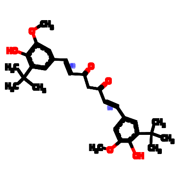 COc1cc(/C=C/C(=O)CC(=O)/C=C/c2cc(OC)c(O)c(C(C)(C)C)c2)cc(C(C)(C)C)c1O